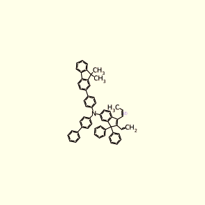 C=CC1=C(/C=C\C)c2ccc(N(c3ccc(-c4ccccc4)cc3)c3ccc(-c4ccc5c(c4)C(C)(C)c4ccccc4-5)cc3)cc2C1(c1ccccc1)c1ccccc1